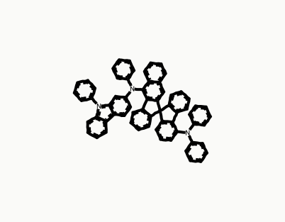 c1ccc(N(c2ccccc2)c2cccc3c2-c2ccccc2C32c3ccccc3-c3c2cc2ccccc2c3N(c2ccccc2)c2ccc3c4ccccc4n(-c4ccccc4)c3c2)cc1